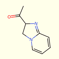 CC(=O)C1CN2C=CC=CC2=N1